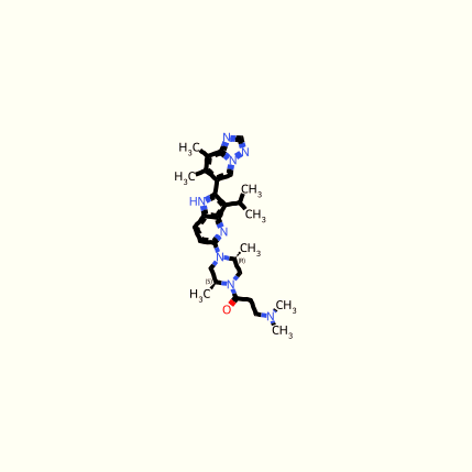 Cc1c(-c2[nH]c3ccc(N4C[C@H](C)N(C(=O)CCN(C)C)C[C@H]4C)nc3c2C(C)C)cn2ncnc2c1C